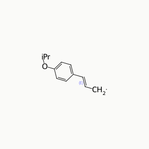 [CH2]/C=C/c1ccc(OC(C)C)cc1